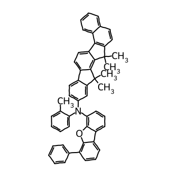 Cc1ccccc1N(c1ccc2c(c1)C(C)(C)c1c-2ccc2c1C(C)(C)c1ccc3ccccc3c1-2)c1cccc2c1oc1c(-c3ccccc3)cccc12